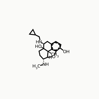 CN[C@@H]1CC[C@]2(O)[C@@H](NCC3CC3)Cc3ccc(O)c4c3[C@]2(C)[C@@H]1O4